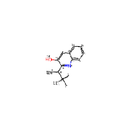 CCC(C)(C)C(c1nc2ccccc2cc1O)C(C)(C)C